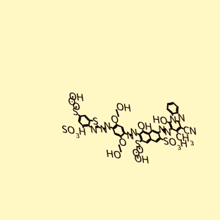 Cc1c(N=Nc2cc3c(O)c(N=Nc4cc(OCCO)c(N=Nc5nc6c(S(=O)(=O)O)cc(SOOO)cc6s5)cc4OCCO)c(SOOO)cc3cc2S(=O)(=O)O)c(O)n2c(nc3ccccc32)c1C#N